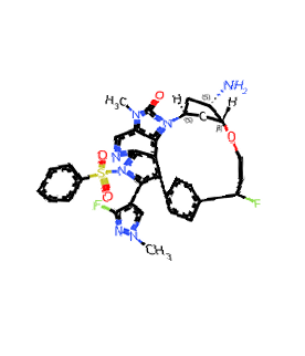 Cn1cc(-c2c3c4c(ncc5c4n(c(=O)n5C)[C@H]4C[C@H](N)[C@@H](C4)OCCC(F)c4ccc-3cc4)n2S(=O)(=O)c2ccccc2)c(F)n1